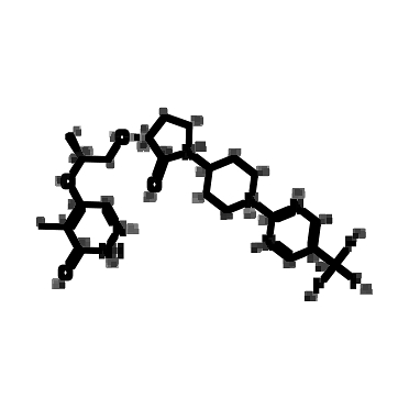 Cc1c(O[C@@H](C)CO[C@@H]2CCN(C3CCN(c4ncc(C(F)(F)F)cn4)CC3)C2=O)cn[nH]c1=O